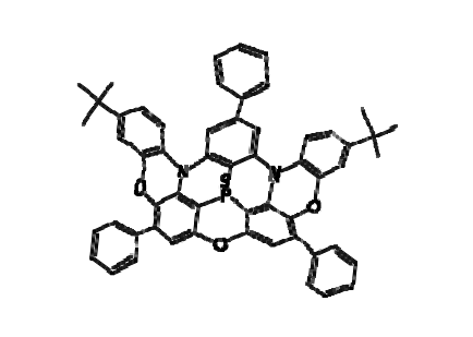 CC(C)(C)c1ccc2c(c1)Oc1c(-c3ccccc3)cc3c4c1N2c1cc(-c2ccccc2)cc2c1P4(=S)c1c(cc(-c4ccccc4)c4c1N2c1ccc(C(C)(C)C)cc1O4)O3